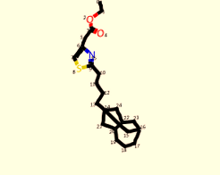 CCOC(=O)Cc1csc(CCCCC23CC4CCCC(C2)C(C4)C3)n1